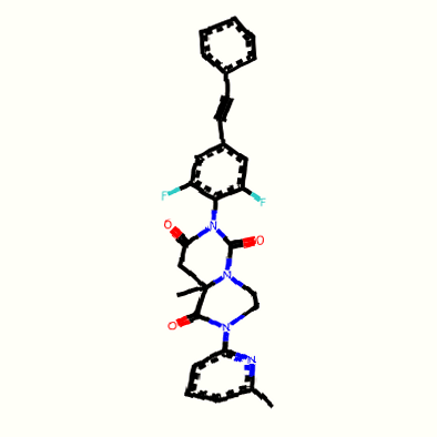 Cc1cccc(N2CCN3C(=O)N(c4c(F)cc(C#Cc5ccccc5)cc4F)C(=O)CC3(C)C2=O)n1